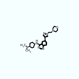 CN(C)[C@H]1CC[C@H](Nc2ncnc3ccc(-c4cnn(CCN5CCOCC5)c4)cc23)CC1